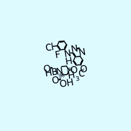 COc1cc2ncnc(Nc3cccc(Cl)c3F)c2cc1O[C@@H]1CCN(BC=O)[C@@H](C(=O)O)C1